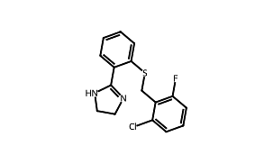 Fc1cccc(Cl)c1CSc1ccccc1C1=NCCN1